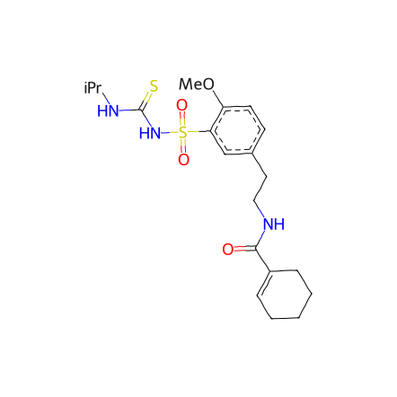 COc1ccc(CCNC(=O)C2=CCCCC2)cc1S(=O)(=O)NC(=S)NC(C)C